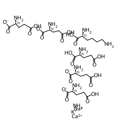 N.NCCCC[C@H](N)C(=O)O.N[C@@H](CCC(=O)O)C(=O)O.N[C@@H](CCC(=O)O)C(=O)[O-].N[C@@H](CCC(=O)O)C(=O)[O-].N[C@@H](CCC(=O)O)C(=O)[O-].N[C@@H](CCC(=O)O)C(=O)[O-].[Ca+2].[K+].[Na+]